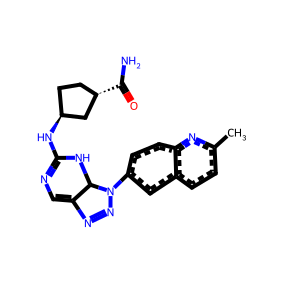 Cc1ccc2cc(N3N=NC4=CN=C(N[C@H]5CC[C@H](C(N)=O)C5)NC43)ccc2n1